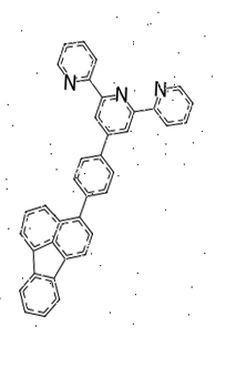 c1ccc(-c2cc(-c3ccc(-c4ccc5c6c(cccc46)-c4ccccc4-5)cc3)cc(-c3ccccn3)n2)nc1